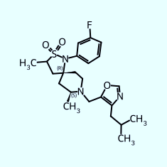 CC(C)Cc1ncoc1CN1CC[C@]2(CC(C)S(=O)(=O)N2c2cccc(F)c2)C[C@@H]1C